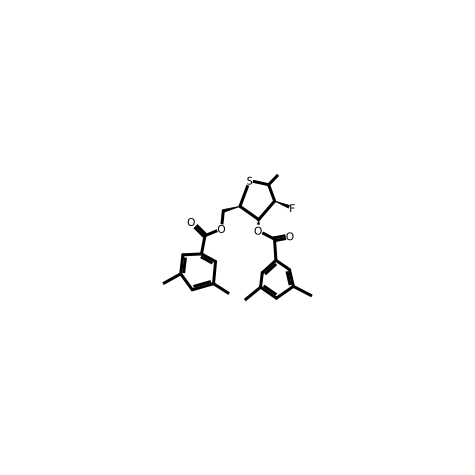 Cc1cc(C)cc(C(=O)OC[C@H]2SC(C)[C@@H](F)[C@@H]2OC(=O)c2cc(C)cc(C)c2)c1